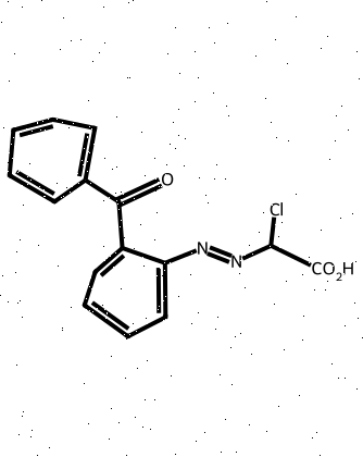 O=C(c1ccccc1)c1ccccc1N=NC(Cl)C(=O)O